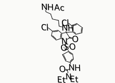 CCN(CC)C(=O)Nc1ccc(S(=O)(=O)N2C(=O)C(NCCCCCNC(C)=O)(c3ccccc3Cl)c3cc(Cl)ccc32)cc1